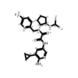 Nc1ncc(NC(=O)C(=O)N(Cc2ccc(C(F)(F)F)cn2)[C@@H]2CCC[C@H]2OC(F)F)cc1C1CC1